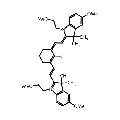 COCCN1C(=CC=C2CCCC(C=CC3=[N+](CCOC)c4ccc(OC)cc4C3(C)C)=C2Cl)C(C)(C)c2cc(OC)ccc21